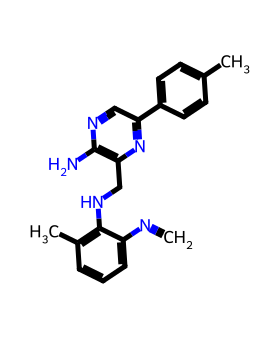 C=Nc1cccc(C)c1NCc1nc(-c2ccc(C)cc2)cnc1N